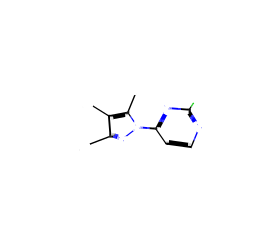 Cc1nn(-c2ccnc(Cl)n2)c(C)c1C